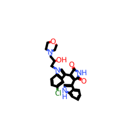 O=C1NC(=O)C(c2cn(CC(O)CN3CCOCC3)c3ccc(Cl)cc23)=C1c1c[nH]c2ccccc12